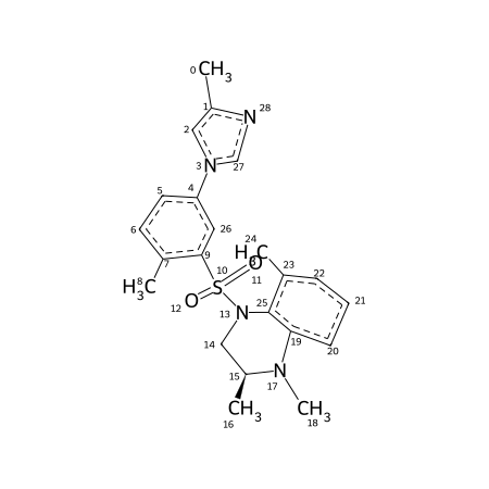 Cc1cn(-c2ccc(C)c(S(=O)(=O)N3C[C@H](C)N(C)c4cccc(C)c43)c2)cn1